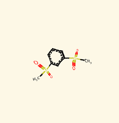 CS(=O)(=O)c1[c]c(S(C)(=O)=O)ccc1